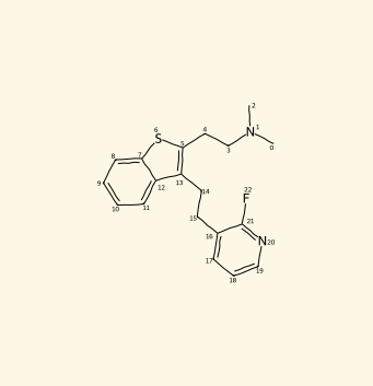 CN(C)CCc1sc2ccccc2c1CCc1cccnc1F